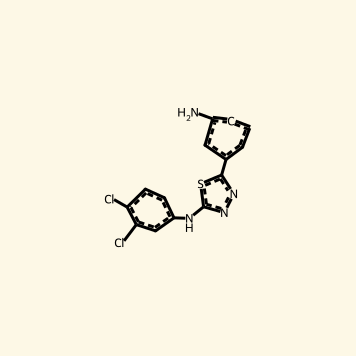 Nc1cccc(-c2nnc(Nc3ccc(Cl)c(Cl)c3)s2)c1